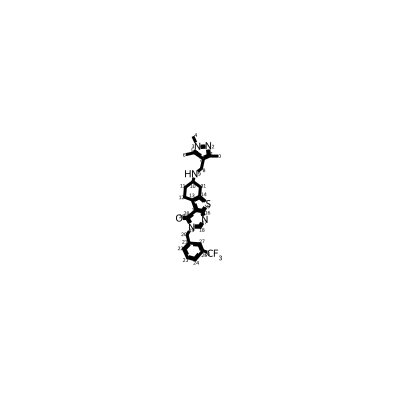 Cc1nn(C)c(C)c1CNC1CCc2c(sc3ncn(Cc4cccc(C(F)(F)F)c4)c(=O)c23)C1